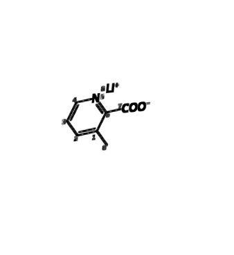 Cc1cccnc1C(=O)[O-].[Li+]